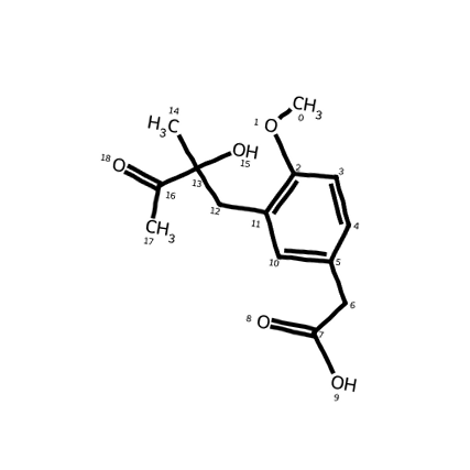 COc1ccc(CC(=O)O)cc1CC(C)(O)C(C)=O